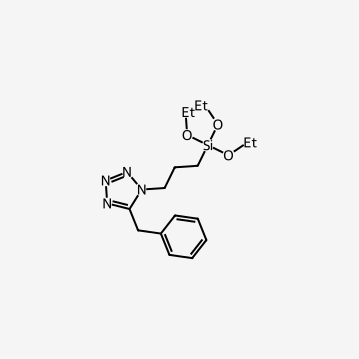 CCO[Si](CCCn1nnnc1Cc1ccccc1)(OCC)OCC